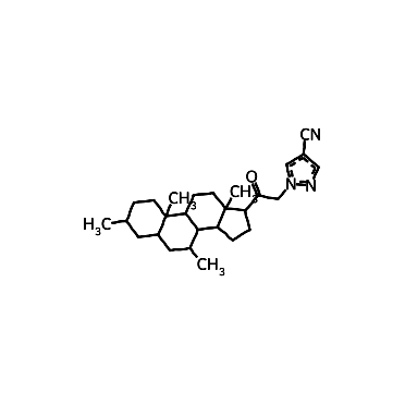 CC1CCC2(C)C(C1)CC(C)C1C2CCC2(C)C(C(=O)Cn3cc(C#N)cn3)CCC12